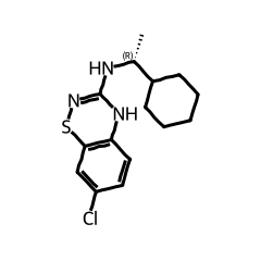 C[C@@H](NC1=NSc2cc(Cl)ccc2N1)C1CCCCC1